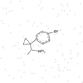 CC(N)C1(c2ccc(Br)cc2)CC1